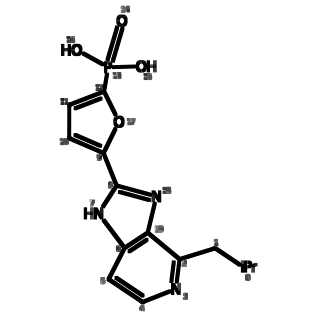 CC(C)Cc1nccc2[nH]c(-c3ccc(P(=O)(O)O)o3)nc12